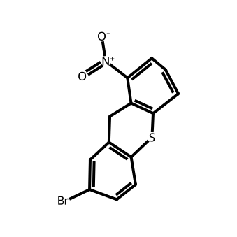 O=[N+]([O-])c1cccc2c1Cc1cc(Br)ccc1S2